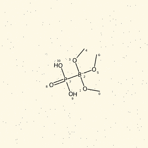 CO[B-](OC)(OC)P(=O)(O)O